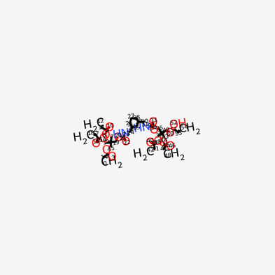 C=CC(=O)OCC(COC(=O)C=C)(COC(=O)C=C)COC(=O)NCC1CCCC(CNC(=O)OCC(COC(=O)C=C)(COC(=O)C=C)COC(O)C=C)C1